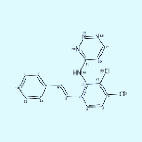 Clc1ccc(C=Cc2ccccc2)c(Nc2ccnnn2)c1Cl